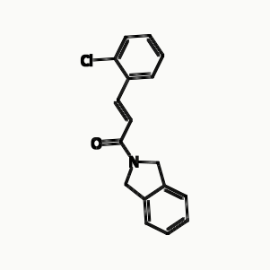 O=C(C=Cc1ccccc1Cl)N1Cc2ccccc2C1